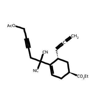 C=C=C[C@@H]1C[C@@H](C(=O)OCC)CC=C1C(C#N)(C#N)CC#CCOC(C)=O